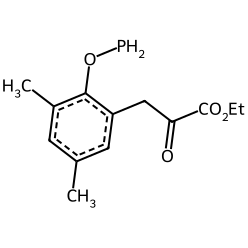 CCOC(=O)C(=O)Cc1cc(C)cc(C)c1OP